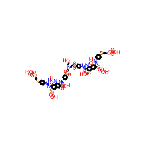 Nc1c(N=Nc2ccc(S(=O)(=O)CCN(CCO)CCS(=O)(=O)c3ccc(N=Nc4c(S(=O)(=O)O)cc5cc(SOOO)c(N=Nc6ccc(SC#COOS(=O)(=O)O)cc6)c(O)c5c4N)cc3)cc2)c(S(=O)(=O)O)cc2cc(SOOO)c(N=Nc3ccc(SC#COOS(=O)(=O)O)cc3)c(O)c12